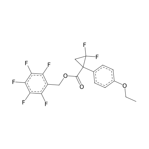 CCOc1ccc(C2(C(=O)OCc3c(F)c(F)c(F)c(F)c3F)CC2(F)F)cc1